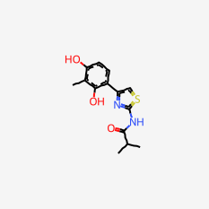 Cc1c(O)ccc(-c2csc(NC(=O)C(C)C)n2)c1O